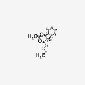 CCCCCc1sc2ccccc2c1OC(C)=O